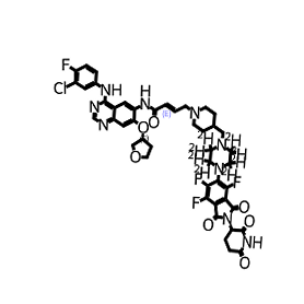 [2H]C1([2H])N(CC2CCN(C/C=C/C(=O)Nc3cc4c(Nc5ccc(F)c(Cl)c5)ncnc4cc3O[C@H]3CCOC3)CC2)C([2H])([2H])C([2H])([2H])N(c2c(F)c(F)c3c(c2F)C(=O)N(C2CCC(=O)NC2=O)C3=O)C1([2H])[2H]